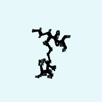 CCCCC(SCCCC(F)(F)C(F)C(F)F)C(=O)OC(C)C